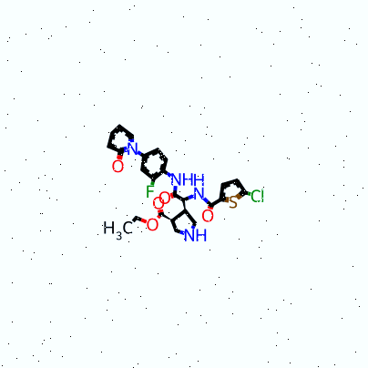 CCOC(=O)[C@@H]1CNC[C@@H]1C(NC(=O)c1ccc(Cl)s1)C(=O)Nc1ccc(-n2ccccc2=O)cc1F